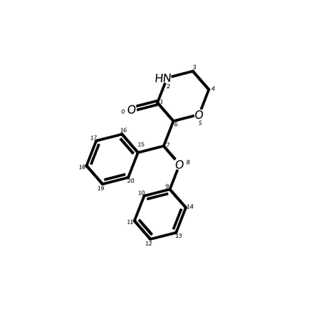 O=C1NCCOC1C(Oc1ccccc1)c1ccccc1